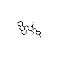 Cc1ccc(CN2C(=O)SC(=Cc3c4ccccc4nc4ccccc34)C2=O)cc1